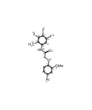 COc1cc(C(C)=O)ccc1OCC(=O)Nc1cc(F)c(F)c(F)c1C